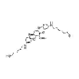 COC1=C(O)/C(=N\c2ccc(NCCCCCCO)cc2)C=C(Nc2ccc(NCCCCCCO)cc2)C1=O